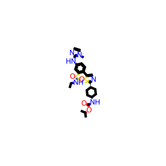 CCNS(=O)(=O)c1cc(Nc2nccn2C)ccc1-c1cnc([C@H]2CC[C@@H](NC(=O)OC(C)C)CC2)s1